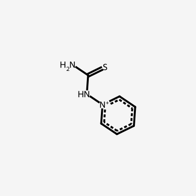 NC(=S)N[n+]1ccccc1